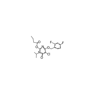 CCCC(=O)Oc1nc(OCc2ccc(F)cc2F)c(Cl)c(=O)n1C(C)C